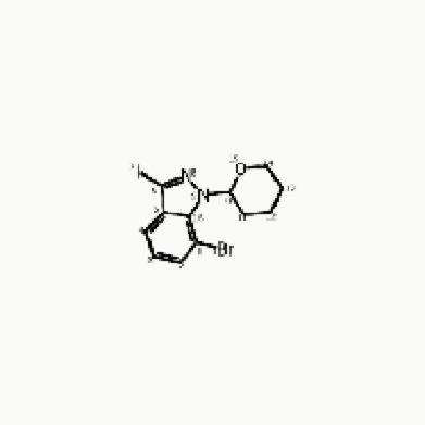 Brc1cccc2c(I)nn(C3CCCCO3)c12